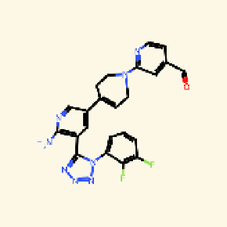 Nc1ncc(C2=CCN(c3cc(C=O)ccn3)CC2)cc1-c1nnnn1-c1cccc(F)c1F